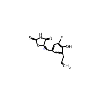 C=CCc1cc(/C=C2/SC(=S)NC2=O)cc(F)c1O